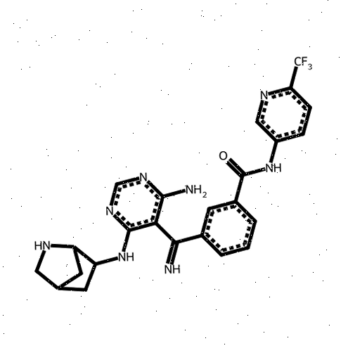 N=C(c1cccc(C(=O)Nc2ccc(C(F)(F)F)nc2)c1)c1c(N)ncnc1NC1CC2CNC1C2